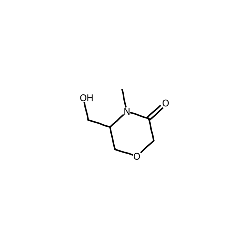 CN1C(=O)COCC1CO